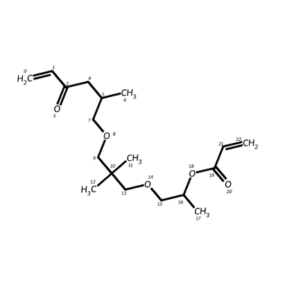 C=CC(=O)CC(C)COCC(C)(C)COCC(C)OC(=O)C=C